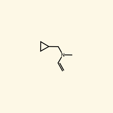 C=CN(C)CC1CC1